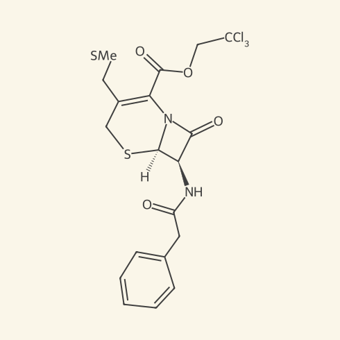 CSCC1=C(C(=O)OCC(Cl)(Cl)Cl)N2C(=O)[C@@H](NC(=O)Cc3ccccc3)[C@H]2SC1